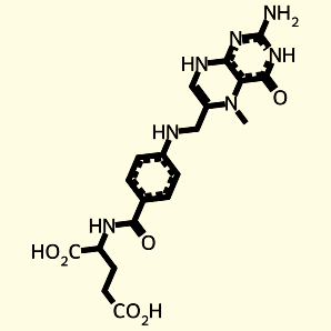 CN1C(CNc2ccc(C(=O)NC(CCC(=O)O)C(=O)O)cc2)=CNc2nc(N)[nH]c(=O)c21